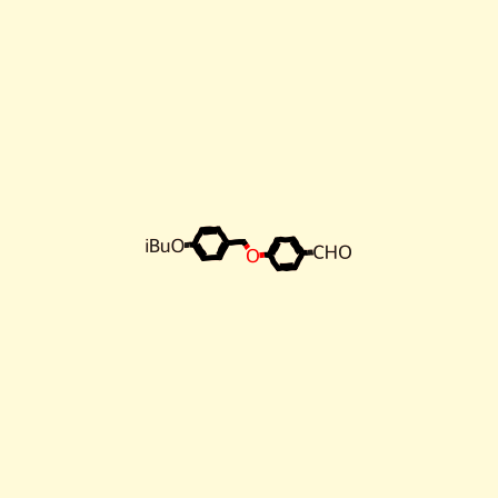 CC(C)COc1ccc(COc2ccc(C=O)cc2)cc1